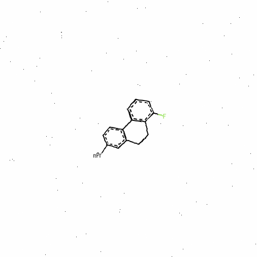 CCCc1ccc2c(c1)CCc1c(F)[c]ccc1-2